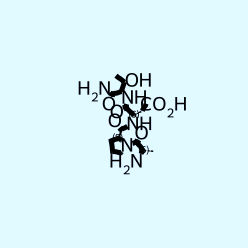 CC(O)C(NC(=O)[C@H](CC(=O)O)NC(=O)[C@@H]1CCCN1C(=O)[C@H](C)N)C(N)=O